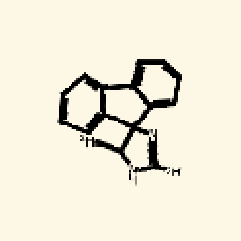 [2H]C1=NC2(c3ccccc3-c3ccccc32)C([2H])N1